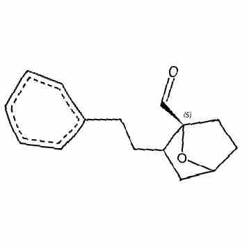 O=C[C@]12CCC(CC1CCc1ccccc1)O2